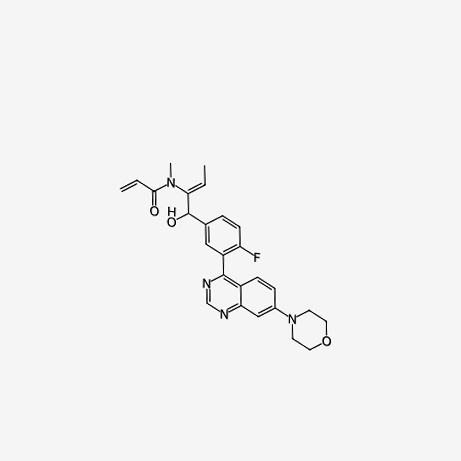 C=CC(=O)N(C)/C(=C\C)C(O)c1ccc(F)c(-c2ncnc3cc(N4CCOCC4)ccc23)c1